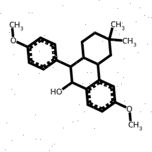 COc1ccc(C2C(O)c3ccc(OC)cc3C3CC(C)(C)CCC32)cc1